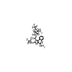 CCCCc1nc2c(N)nc3ccccc3c2n1C(CC)CNS(N)(=O)=O.FC(F)F.O=C(O)C(F)(F)F